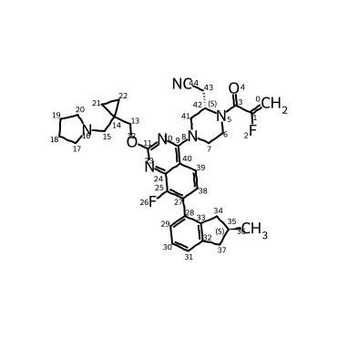 C=C(F)C(=O)N1CCN(c2nc(OCC3(CN4CCCC4)CC3)nc3c(F)c(-c4cccc5c4C[C@@H](C)C5)ccc23)C[C@@H]1CC#N